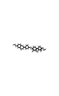 CCCC1CCC2CC(C3CCC(COC(/C=C\C(=C\F)c4ccc(OCC)c(F)c4F)=C(/C)F)CC3)CCC2C1